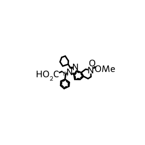 COC(=O)N1CCc2ccc3c(nc(C4CCCCC4)n3[C@H](CC(=O)O)c3ccccc3)c2C1